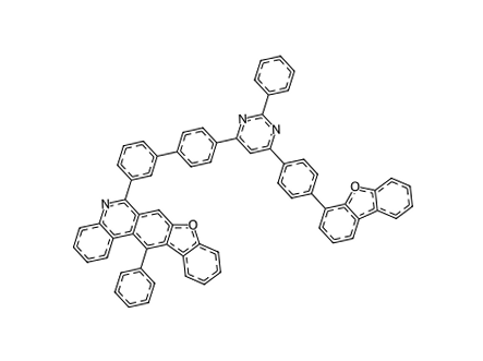 c1ccc(-c2nc(-c3ccc(-c4cccc(-c5nc6ccccc6c6c(-c7ccccc7)c7c(cc56)oc5ccccc57)c4)cc3)cc(-c3ccc(-c4cccc5c4oc4ccccc45)cc3)n2)cc1